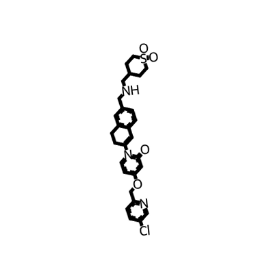 O=c1cc(OCc2ccc(Cl)cn2)ccn1C1=Cc2ccc(CNCC3CCS(=O)(=O)CC3)cc2CC1